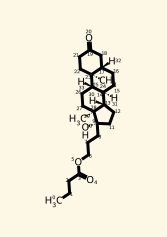 CCCC(=O)OCCC[C@]1(O)CC[C@H]2[C@@H]3CC[C@H]4CC(=O)CC[C@]4(C)[C@H]3CC[C@@]21C